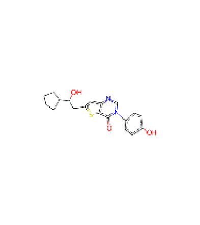 O=c1c2sc(CC(O)C3CCCC3)cc2ncn1-c1ccc(O)cc1